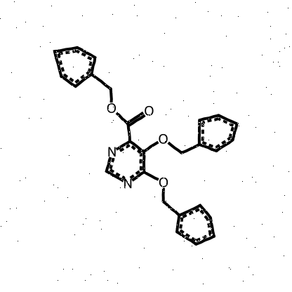 O=C(OCc1ccccc1)c1ncnc(OCc2ccccc2)c1OCc1ccccc1